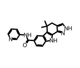 CC1(C)Cc2c[nH]nc2-c2[nH]c3ccc(C(=O)Nc4cccnc4)cc3c21